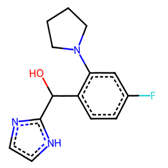 OC(c1ncc[nH]1)c1ccc(F)cc1N1CCCC1